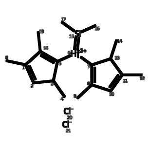 CC1=CC(C)[C]([Hf+2]([C]2=C(C)C=C(C)C2C)=[Si](C)C)=C1C.[Cl-].[Cl-]